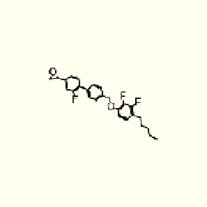 CCCCCc1ccc(OCc2ccc(-c3ccc(C4CO4)cc3F)cc2)c(F)c1F